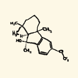 CC1(C)CCCC2(C)c3cc(OC(F)(F)F)ccc3[C@@](C)(O)[C@@H]12